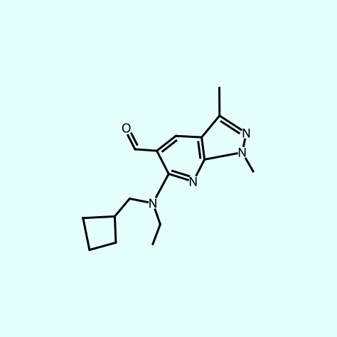 CCN(CC1CCC1)c1nc2c(cc1C=O)c(C)nn2C